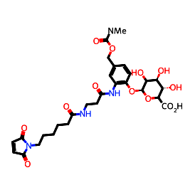 CNC(=O)OCc1ccc(O[C@@H]2OC(C(=O)O)[C@@H](O)[C@H](O)C2O)c(NC(=O)CCNC(=O)CCCCCN2C(=O)C=CC2=O)c1